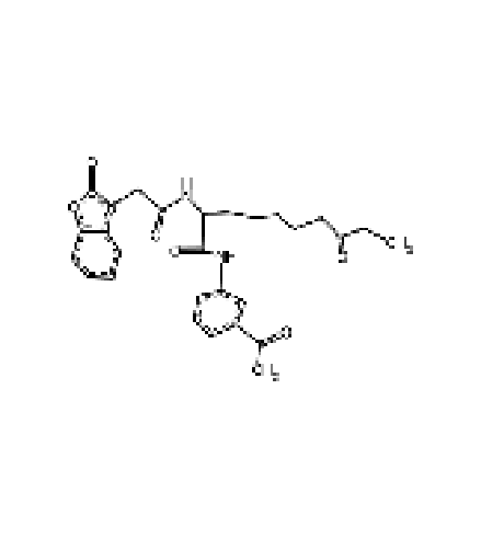 CCC(=O)CCCCC[C@H](NC(=O)Cn1c(=O)oc2ccccc21)C(=O)Nc1cccc(C(C)=O)c1